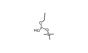 CCOP(O)O[Si](C)(C)C